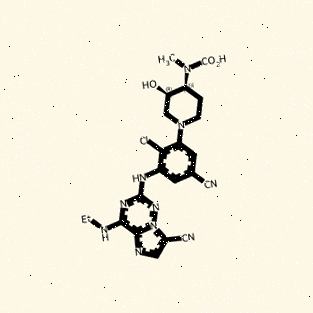 CCNc1nc(Nc2cc(C#N)cc(N3CC[C@H](N(C)C(=O)O)[C@H](O)C3)c2Cl)nn2c(C#N)cnc12